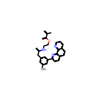 C=C(Cc1cc(-c2ccc3ccc4cccnc4c3n2)cc(C(C)(C)C)c1)NCCOC(=C)C(=C)C